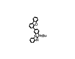 CC(C)(C)n1c2ccc(-c3cccc4c3oc3ccccc34)cc2n2c3ccccc3nc12